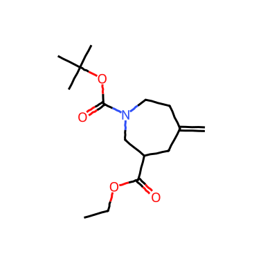 C=C1CCN(C(=O)OC(C)(C)C)CC(C(=O)OCC)C1